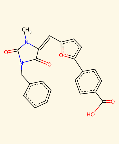 CN1C(=O)N(Cc2ccccc2)C(=O)C1=Cc1ccc(-c2ccc(C(=O)O)cc2)o1